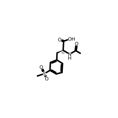 CC(=O)N[C@@H](Cc1cccc(S(C)(=O)=O)c1)C(=O)O